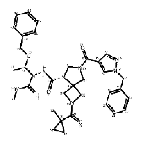 CNC(=O)[C@@H](NC(=O)[C@@H]1CN(C(=O)c2cnn(Cc3ccccc3)c2)CC12CN(C(=O)C1(C)CC1)C2)[C@@H](C)OCc1ccccc1